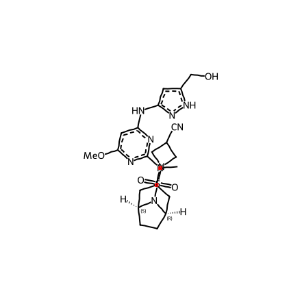 COc1cc(Nc2cc(CO)[nH]n2)nc(N(C)C2C[C@H]3CC[C@@H](C2)N3S(=O)(=O)N2CC(C#N)C2)n1